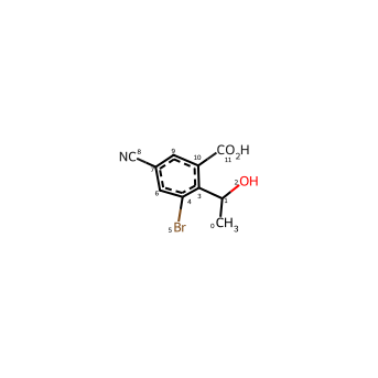 CC(O)c1c(Br)cc(C#N)cc1C(=O)O